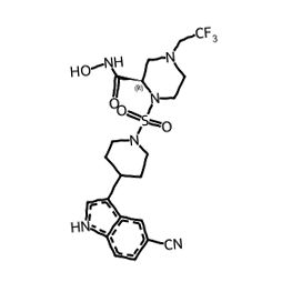 N#Cc1ccc2[nH]cc(C3CCN(S(=O)(=O)N4CCN(CC(F)(F)F)C[C@@H]4C(=O)NO)CC3)c2c1